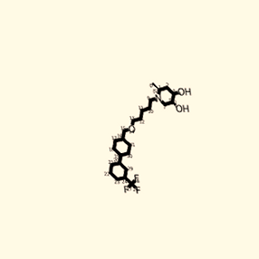 C[C@H]1CC(O)[C@@H](O)CN1CCCCCOCC1CCC(C2CCCC(C(F)(F)F)C2)CC1